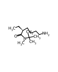 CC[C@@H](CCCCN)C(=O)N(C)C(C)(C)C